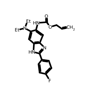 C=CCOC(=O)Nc1cc2nc(-c3ccc(F)cc3)[nH]c2cc1N(CC)CC